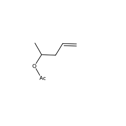 C=CCC(C)OC(C)=O